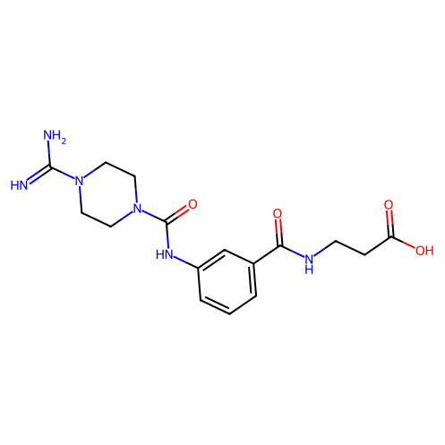 N=C(N)N1CCN(C(=O)Nc2cccc(C(=O)NCCC(=O)O)c2)CC1